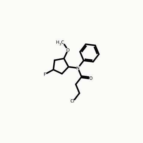 COC1CC(F)CC1N(C(=O)CCCl)c1ccccc1